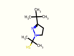 CC(C)(C)C1=NN(C(C)(C)S)CC1